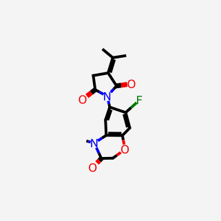 CC(C)=C1CC(=O)N(c2cc3c(cc2F)OCC(=O)N3C)C1=O